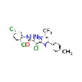 Cc1ccc(-c2cc(C(F)(F)F)n3nc(C(=O)Nc4cc(Cl)ccc4Cl)c(Cl)c3n2)cc1